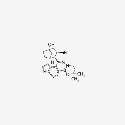 CC(C)[C@@H]1C[C@]2(O)CC[C@@H](C2)[C@@H]1C1=NN2CCC(C)(C)OB2c2cnc3[nH]ccc3c21